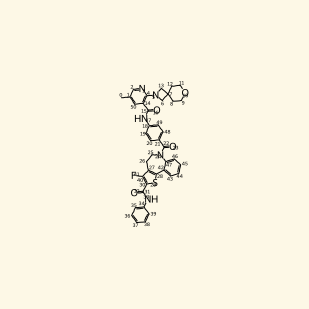 Cc1cnc(N2CC3(CCOCC3)C2)c(C(=O)Nc2ccc(C(=O)N3CCc4c(sc(C(=O)Nc5ccccc5)c4F)-c4ccccc43)cc2)c1